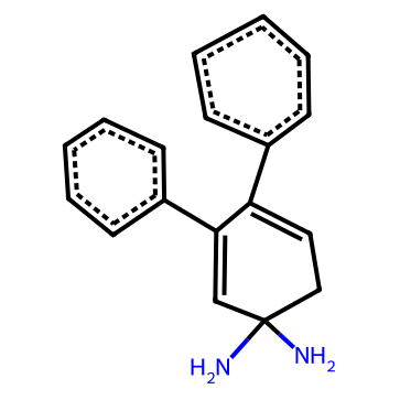 NC1(N)C=C(c2ccccc2)C(c2ccccc2)=CC1